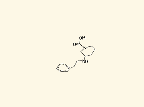 O=C(O)N1CCCC(NCCc2ccccc2)C1